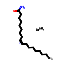 CCCCCCCC/C=C\CCCCCCCC(N)=O.[Cu].[InH3]